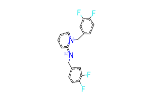 Fc1ccc(C/N=c2\ccccn2Cc2ccc(F)c(F)c2)cc1F